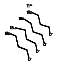 CC(C)(C)CCC[O-].CC(C)(C)CCC[O-].CC(C)(C)CCC[O-].CC(C)(C)CCC[O-].[Ti+4]